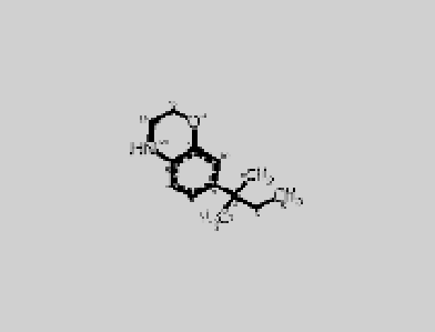 CCC(C)(C)c1ccc2c(c1)OCCN2